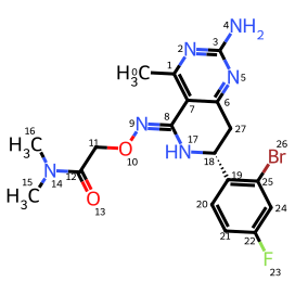 Cc1nc(N)nc2c1/C(=N/OCC(=O)N(C)C)N[C@@H](c1ccc(F)cc1Br)C2